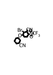 N#Cc1cccc(Oc2ccc(S(=O)(=O)C(F)(F)F)c(C#N)c2Br)c1